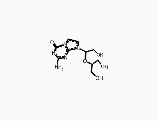 Nc1nc(=O)n2ccn(C(CO)OC(CO)CO)c2n1